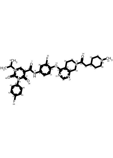 CC(C)n1cc(C(=O)Nc2ccc(Oc3ncnc4c3CCN(C(=O)CC3CCN(C)CC3)C4)c(F)c2)c(=O)n(-c2ccc(F)cc2)c1=O